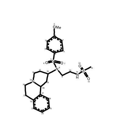 COc1ccc(S(=O)(=O)N(CCNS(C)(=O)=O)C2CCN3CCc4ccccc4C3C2)cc1